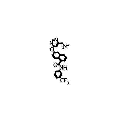 CN(C)Cc1cc(Oc2ccc3c(C(=O)Nc4cccc(C(F)(F)F)c4)cccc3c2)ncn1